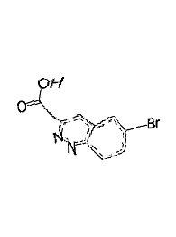 O=C(O)c1cc2cc(Br)ccc2nn1